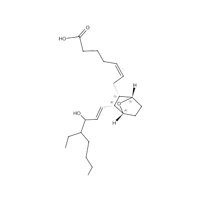 CCCCC(CC)C(O)/C=C/[C@@H]1[C@H](C/C=C\CCCC(=O)O)[C@@H]2CC[C@H]1O2